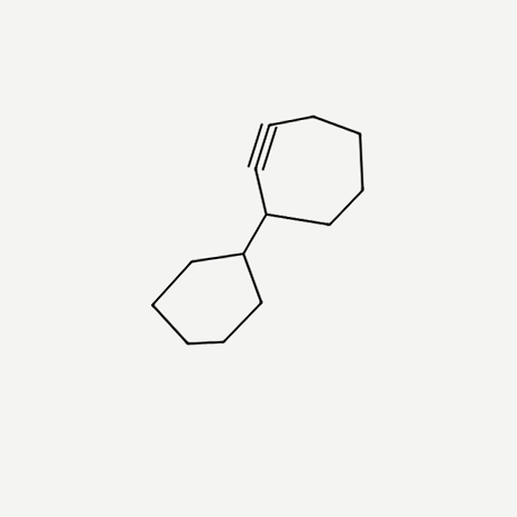 C1#CC(C2CCCCC2)CCCC1